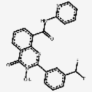 Cn1c(-c2cccc(C(F)F)c2)nc2c(C(=O)Nc3ccccn3)cccc2c1=O